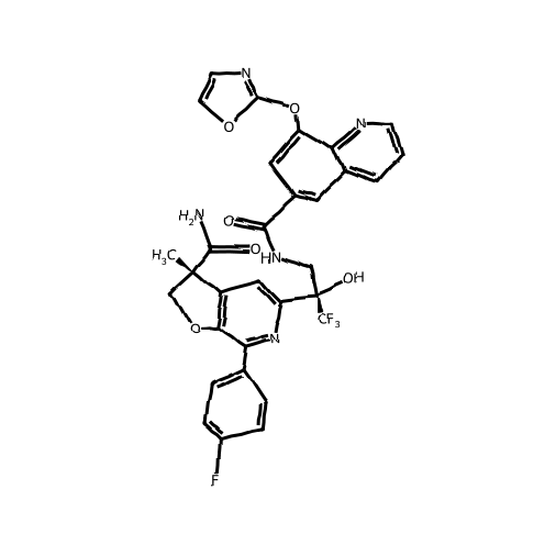 C[C@]1(C(N)=O)COc2c1cc([C@@](O)(CNC(=O)c1cc(Oc3ncco3)c3ncccc3c1)C(F)(F)F)nc2-c1ccc(F)cc1